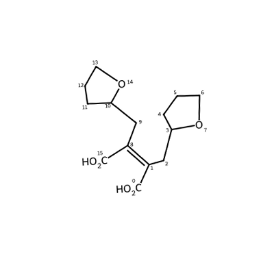 O=C(O)C(CC1CCCO1)=C(CC1CCCO1)C(=O)O